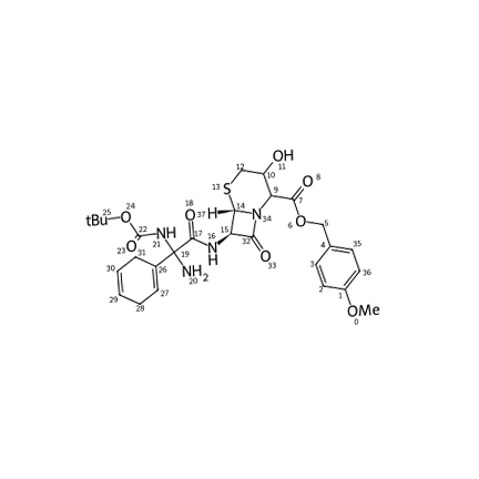 COc1ccc(COC(=O)C2C(O)CS[C@H]3[C@H](NC(=O)C(N)(NC(=O)OC(C)(C)C)C4=CCC=CC4)C(=O)N23)cc1